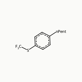 CCCCCc1ccc(SC(F)(F)F)cc1